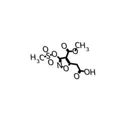 COC(=O)c1c(OS(C)(=O)=O)noc1CC(=O)O